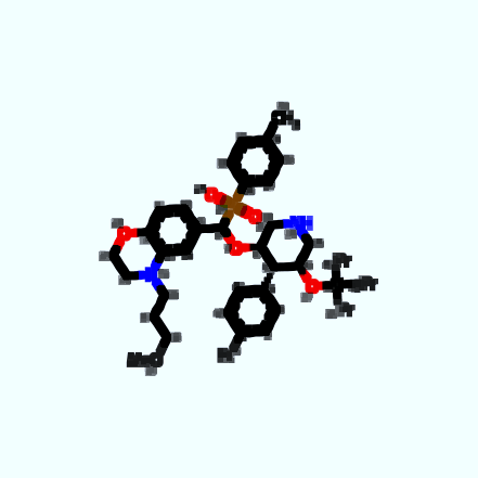 CCc1ccc([C@@H]2[C@@H](OC(c3ccc4c(c3)N(CCCOC)CCO4)S(=O)(=O)c3ccc(C)cc3)CNC[C@H]2O[Si](C(C)C)(C(C)C)C(C)C)cc1